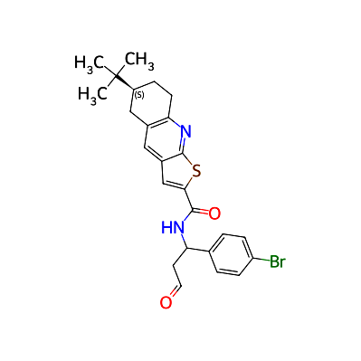 CC(C)(C)[C@H]1CCc2nc3sc(C(=O)NC(CC=O)c4ccc(Br)cc4)cc3cc2C1